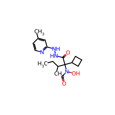 CCC(C)C(C(=O)NNc1cc(C)ccn1)(C1CCC1)N(O)C=O